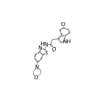 O=C(Cc1c[nH]c2ccc(Cl)cc12)Nc1nc2ccc(N3CCOCC3)cc2s1